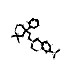 CCN(CCC1(c2ccccc2)CCOC(C)(C)C1)Cc1ccc(N(C)C)cc1